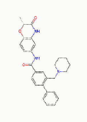 C[C@H]1Oc2ccc(NC(=O)c3ccc(-c4ccccc4)c(CN4CCCCC4)c3)cc2NC1=O